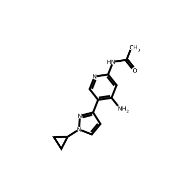 CC(=O)Nc1cc(N)c(-c2ccn(C3CC3)n2)cn1